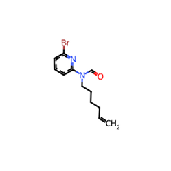 C=CCCCCN(C=O)c1cccc(Br)n1